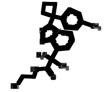 Cc1ccc(C2(c3nnc4c(C(C)(C)C(=O)NCCC#N)cccn34)CCC2)cc1